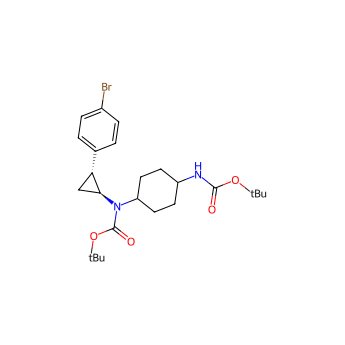 CC(C)(C)OC(=O)NC1CCC(N(C(=O)OC(C)(C)C)[C@H]2C[C@@H]2c2ccc(Br)cc2)CC1